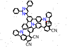 N#Cc1ccc(-c2ccc3c(c2)c2cc(-c4ccc(C#N)cc4C#N)ccc2n3-c2c(-c3ccc(-n4c5ccccc5c5ccccc54)cc3)cc(-c3cc(-c4ccccc4)nc(-c4ccccc4)n3)cc2-c2ccc(-n3c4ccccc4c4ccccc43)cc2)c(C#N)c1